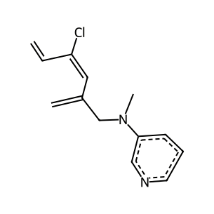 C=C/C(Cl)=C\C(=C)CN(C)c1cccnc1